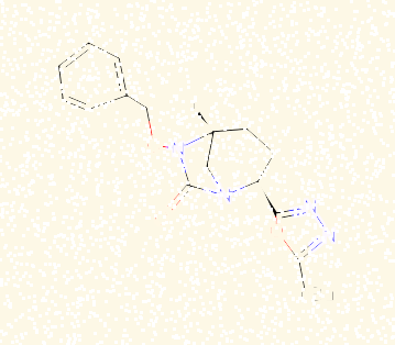 CCCCc1nnc([C@@H]2CC[C@@H]3CN2C(=O)N3OCc2ccccc2)o1